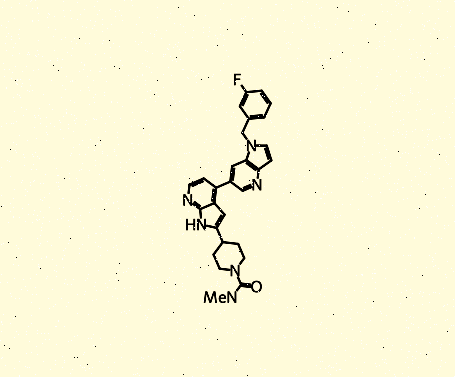 CNC(=O)N1CCC(c2cc3c(-c4cnc5ccn(Cc6cccc(F)c6)c5c4)ccnc3[nH]2)CC1